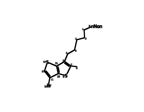 CCCCCCCCCCCCCCc1c(C)sc2c(Br)csc12